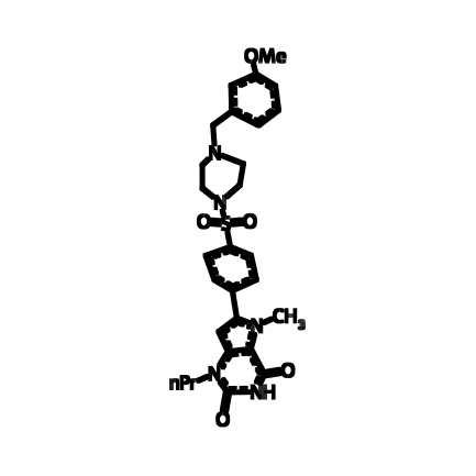 CCCn1c(=O)[nH]c(=O)c2c1cc(-c1ccc(S(=O)(=O)N3CCN(Cc4cccc(OC)c4)CC3)cc1)n2C